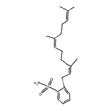 CC(C)=CCCC(C)=CCCC(C)=CCc1ccccc1S(N)(=O)=O